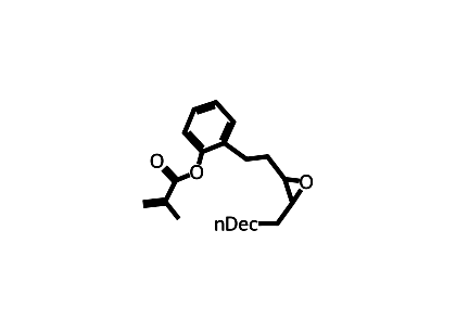 C=C(C)C(=O)Oc1ccccc1CCC1OC1CCCCCCCCCCC